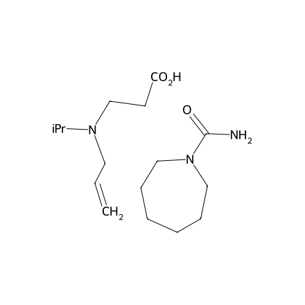 C=CCN(CCC(=O)O)C(C)C.NC(=O)N1CCCCCC1